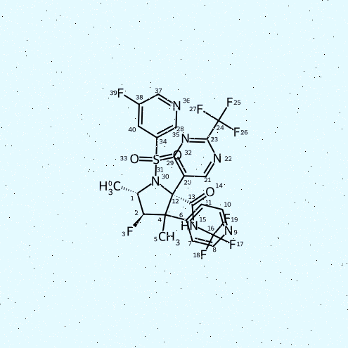 C[C@H]1[C@H](F)C(C)(c2ccncc2)[C@](C(=O)NC(F)(F)F)(c2cnc(C(F)(F)F)nc2)N1S(=O)(=O)c1cncc(F)c1